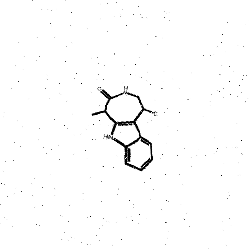 CC1C(=O)NCC(Cl)c2c1[nH]c1ccccc21